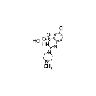 CN1CCN(C2=Nc3ccc(Cl)cc3S(=O)(=O)N2)CC1.Cl